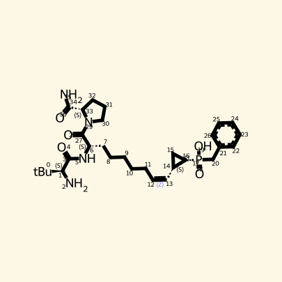 CC(C)(C)[C@H](N)C(=O)N[C@@H](CCCCC/C=C\[C@@H]1C[C@@H]1P(=O)(O)Cc1ccccc1)C(=O)N1CCC[C@H]1C(N)=O